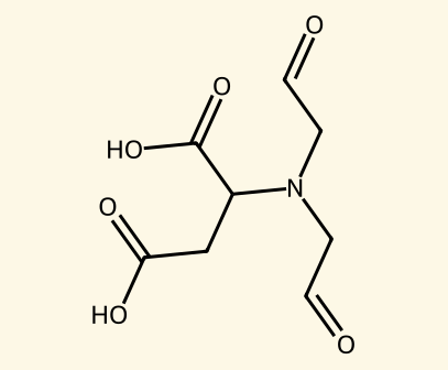 O=CCN(CC=O)C(CC(=O)O)C(=O)O